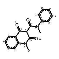 CN(C(=O)C1C(=O)c2ccccc2N(C)C1=O)c1ccccc1